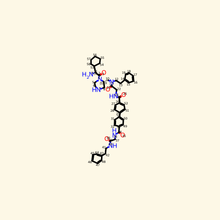 N[C@H](C(=O)N1CCNC[C@H]1CN(CCc1ccccc1)C(=O)CNC(=O)c1ccc(-c2ccc(C(=O)NCC(=O)NCCc3ccccc3)cc2)cc1)C1CCCCC1